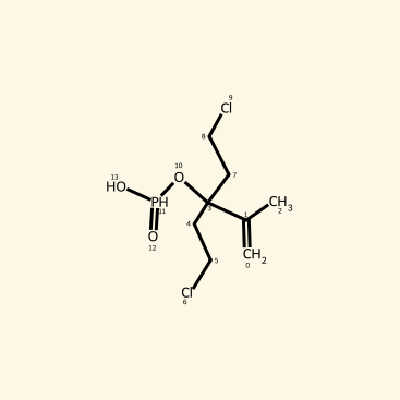 C=C(C)C(CCCl)(CCCl)O[PH](=O)O